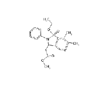 CCOP1(=O)c2c(ccc(C)c2C)C(CC(=O)OC)N1c1ccccc1